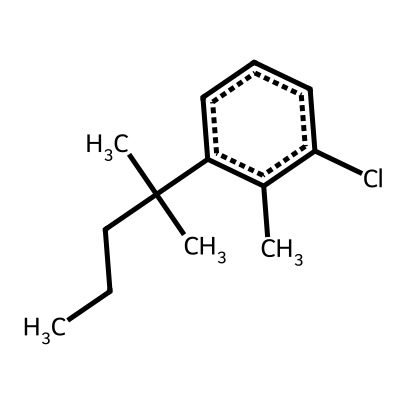 CCCC(C)(C)c1cccc(Cl)c1C